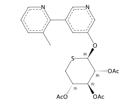 CC(=O)O[C@@H]1[C@@H](OC(C)=O)[C@H](OC(C)=O)CS[C@H]1Oc1cncc(-c2ncccc2C)c1